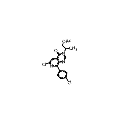 CC(=O)OCC(C)n1cnc2c(-c3ccc(Cl)cc3)nc(Cl)cc2c1=O